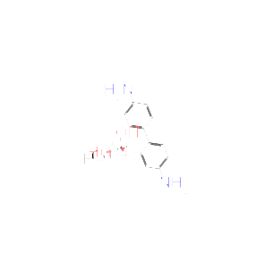 Nc1ccc(-c2ccc(N)cc2)cc1.O=[Se](O)O.[Co].[H+]